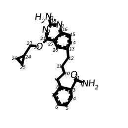 NC(=O)c1ccccc1CCCCc1ccc2nc(N)nc(OCC3CC3)c2c1